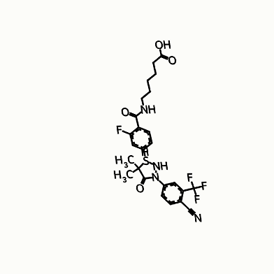 CC1(C)C(=O)N(c2ccc(C#N)c(C(F)(F)F)c2)N[SH]1c1ccc(C(=O)NCCCCCC(=O)O)c(F)c1